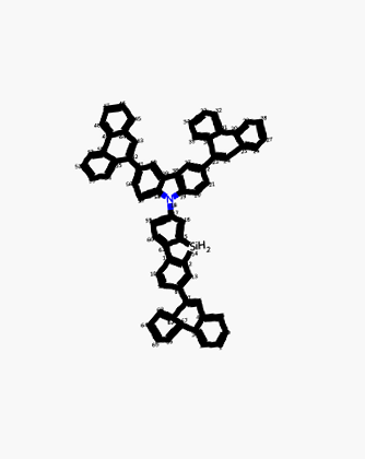 c1ccc2c(c1)cc(-c1ccc3c(c1)[SiH2]c1cc(-n4c5ccc(-c6cc7ccccc7c7ccccc67)cc5c5cc(-c6cc7ccccc7c7ccccc67)ccc54)ccc1-3)c1ccccc12